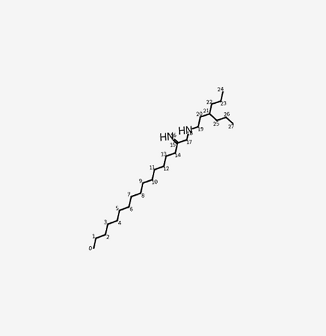 CCCCCCCCCCCCCCCC(=N)CNCCC(CCC)CCC